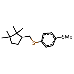 CSc1ccc(SC[C@H]2CCC(C)(C)C2(C)C)cc1